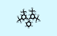 CC(C)(C)c1cc(N(c2ccccc2)c2cc(C(C)(C)C)cc(C(C)(C)C)c2)cc(C(C)(C)C)c1